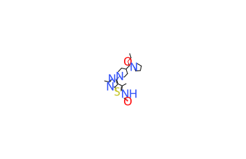 CCOC(C1CCN(c2nc(C)nc3sc(NC=O)c(C)c23)CC1)N1CCCC1